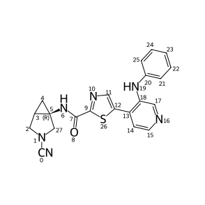 N#CN1CC2C[C@]2(NC(=O)c2ncc(-c3ccncc3Nc3ccccc3)s2)C1